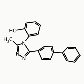 Cc1nnc(-c2ccc(-c3ccccc3)cc2)n1-c1ccccc1O